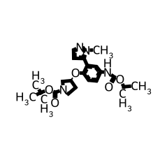 CC(C)OC(=O)Nc1ccc(O[C@@H]2CCN(C(=O)OC(C)(C)C)C2)c(-c2ccnn2C)c1